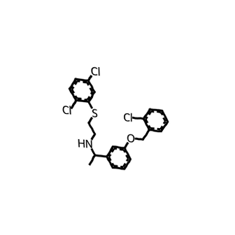 CC(NCCSc1cc(Cl)ccc1Cl)c1cccc(OCc2ccccc2Cl)c1